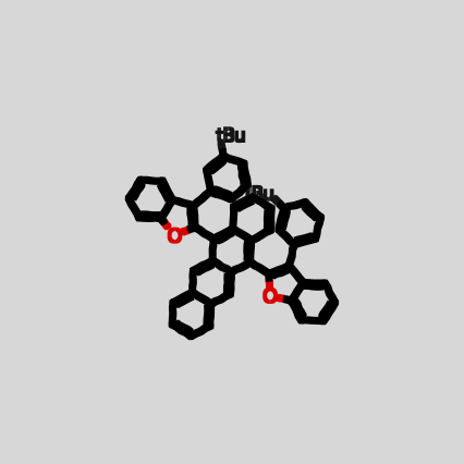 CC(C)(C)c1cccc(-c2c(-c3c4ccccc4c(-c4oc5ccccc5c4-c4cccc(C(C)(C)C)c4)c4cc5ccccc5cc34)oc3ccccc23)c1